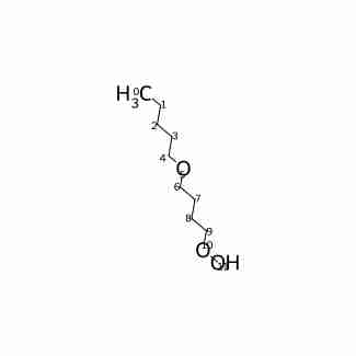 CCCCCOCCCCOO